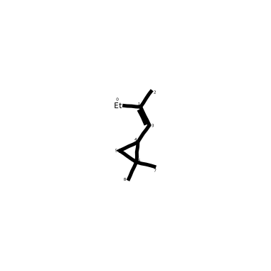 CC/C(C)=C\C1[CH]C1(C)C